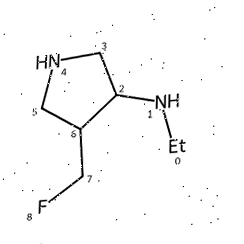 CCNC1CNCC1CF